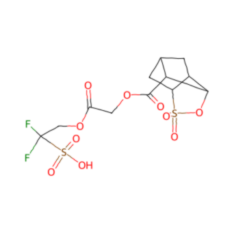 O=C(COC(=O)C1C2CC3C1OS(=O)(=O)C3C2)OCC(F)(F)S(=O)(=O)O